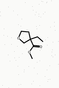 CCC1(C(=O)OC)CCOC1